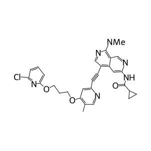 CNc1ncc(C#Cc2cc(OCCCOc3cccc(Cl)n3)c(C)cn2)c2cc(NC(=O)C3CC3)ncc12